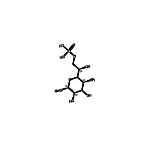 CO[C@H]1OC([C@H](O)COP(=O)(O)O)[C@@H](O)C(O)[C@H]1O